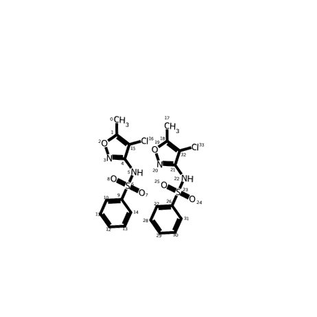 Cc1onc(NS(=O)(=O)c2ccccc2)c1Cl.Cc1onc(NS(=O)(=O)c2ccccc2)c1Cl